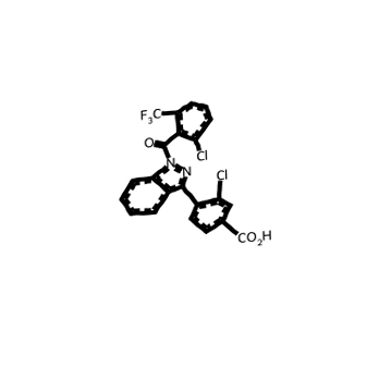 O=C(O)c1ccc(-c2nn(C(=O)c3c(Cl)cccc3C(F)(F)F)c3ccccc23)c(Cl)c1